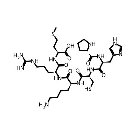 CSCC[C@H](NC(=O)[C@H](CCCNC(=N)N)NC(=O)[C@H](CCCCN)NC(=O)[C@H](CS)NC(=O)[C@H](Cc1c[nH]cn1)NC(=O)[C@@H]1CCCN1)C(=O)O